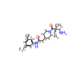 CC(C)(CN)C(=O)N1CCC(CC(=O)Nc2cc(C(F)(F)F)cc(C(F)(F)F)c2)CC1